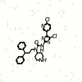 O=C(Nc1nc(-c2ccc(Cl)nc2)c(Cl)s1)N(CCC(c1ccccc1)c1ccccc1)C1CCNCC1